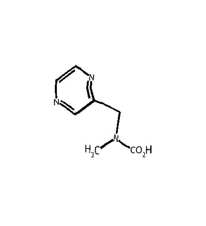 CN(Cc1cnccn1)C(=O)O